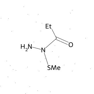 CCC(=O)N(N)SC